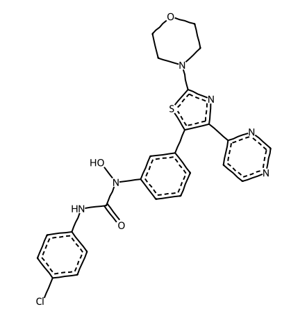 O=C(Nc1ccc(Cl)cc1)N(O)c1cccc(-c2sc(N3CCOCC3)nc2-c2ccncn2)c1